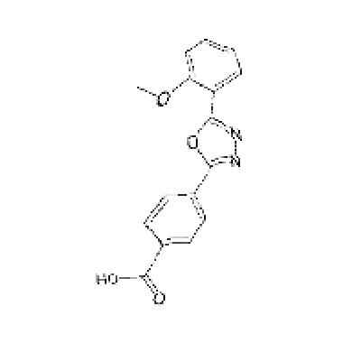 COc1ccccc1-c1nnc(-c2ccc(C(=O)O)cc2)o1